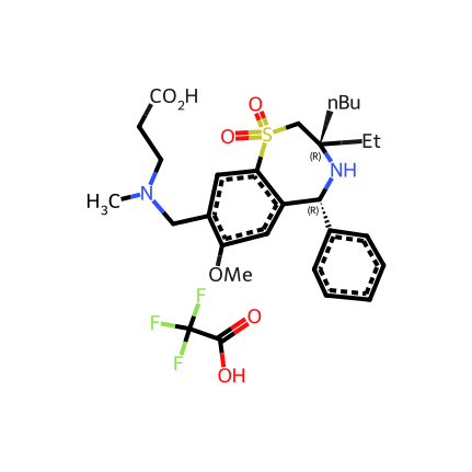 CCCC[C@]1(CC)CS(=O)(=O)c2cc(CN(C)CCC(=O)O)c(OC)cc2[C@@H](c2ccccc2)N1.O=C(O)C(F)(F)F